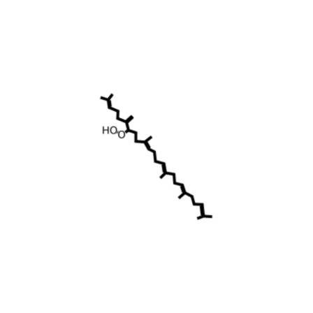 C=C(CCC=C(C)C)C(CC/C(C)=C/CC/C=C(\C)CC/C=C(\C)CCC=C(C)C)OO